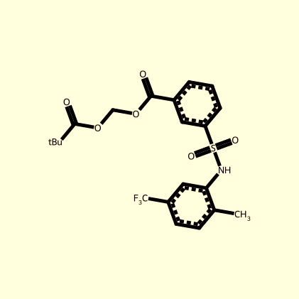 Cc1ccc(C(F)(F)F)cc1NS(=O)(=O)c1cccc(C(=O)OCOC(=O)C(C)(C)C)c1